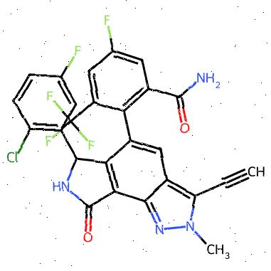 C#Cc1c2cc(-c3c(C(N)=O)cc(F)cc3C(F)(F)F)c3c(c2nn1C)C(=O)NC3c1cc(F)ccc1Cl